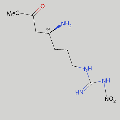 COC(=O)C[C@@H](N)CCCNC(=N)N[N+](=O)[O-]